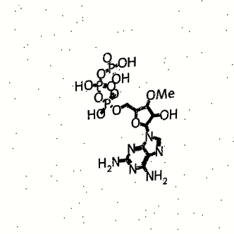 COC1C(COP(=O)(O)OP(=O)(O)OP(=O)(O)O)OC(n2cnc3c(N)nc(N)nc32)C1O